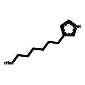 CCCCCCCCCCCCc1[c][nH]cc1